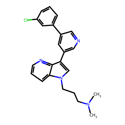 CN(C)CCCn1cc(-c2cncc(-c3cccc(Cl)c3)c2)c2ncccc21